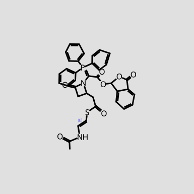 CC(=O)N/C=C/SC(=O)CC1CC(=O)N1C(C(=O)OC1OC(=O)c2ccccc21)=P(c1ccccc1)(c1ccccc1)c1ccccc1